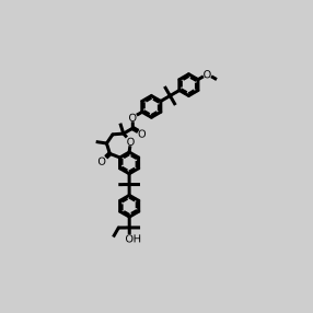 CCC(C)(O)c1ccc(C(C)(C)c2ccc3c(c2)C(=O)C(C)CC(C)(C(=O)Oc2ccc(C(C)(C)c4ccc(OC)cc4)cc2)O3)cc1